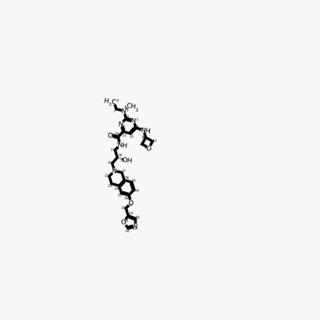 CCN(C)c1nc(NC2COC2)cc(C(=O)NC[C@H](O)CN2CCc3cc(OCc4cnco4)ccc3C2)n1